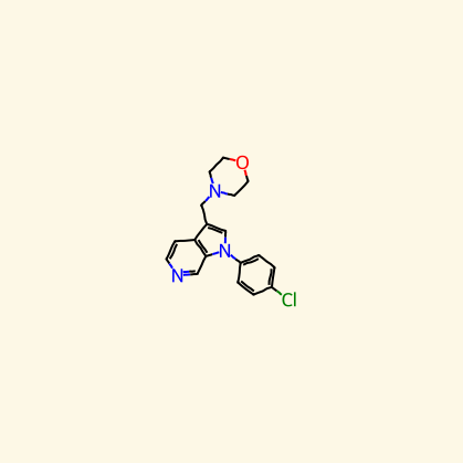 Clc1ccc(-n2cc(CN3CCOCC3)c3ccncc32)cc1